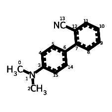 CN(C)c1ccc(-c2ccccc2C#N)cc1